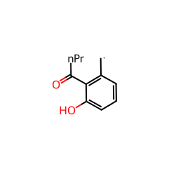 [CH2]c1cccc(O)c1C(=O)CCC